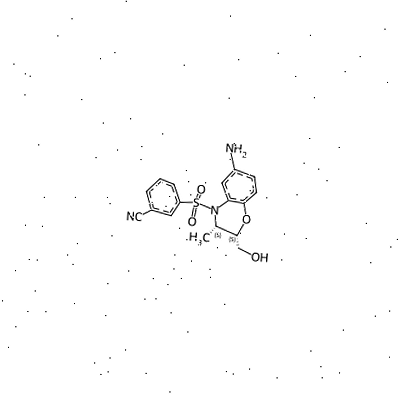 C[C@H]1[C@@H](CO)Oc2ccc(N)cc2N1S(=O)(=O)c1cccc(C#N)c1